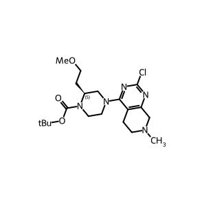 COCC[C@H]1CN(c2nc(Cl)nc3c2CCN(C)C3)CCN1C(=O)OC(C)(C)C